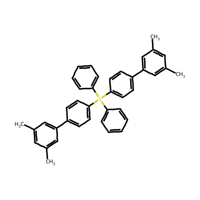 Cc1cc(C)cc(-c2ccc(S(c3ccccc3)(c3ccccc3)c3ccc(-c4cc(C)cc(C)c4)cc3)cc2)c1